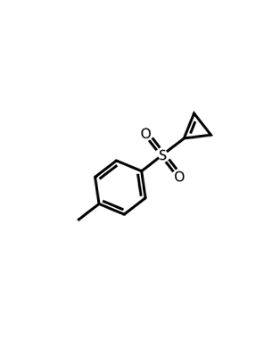 Cc1ccc(S(=O)(=O)C2=CC2)cc1